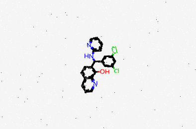 Oc1c(C(Nc2ccccn2)c2cc(Cl)cc(Cl)c2)ccc2cccnc12